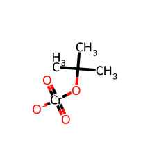 CC(C)(C)[O][Cr](=[O])(=[O])[O-]